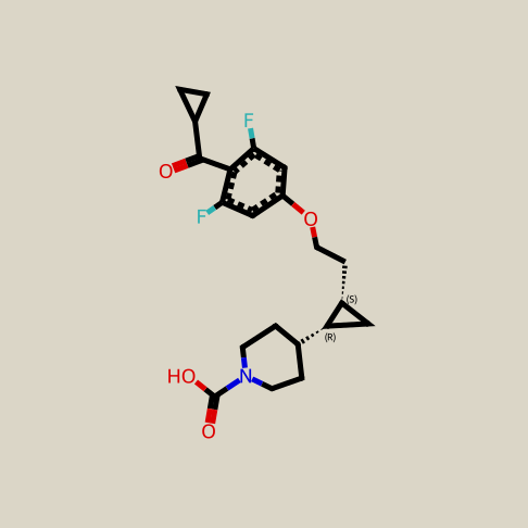 O=C(c1c(F)cc(OCC[C@@H]2C[C@@H]2C2CCN(C(=O)O)CC2)cc1F)C1CC1